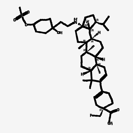 CC(C)[C@@H]1CC[C@]2(NCCC3(O)CCC(OS(C)(=O)=O)CC3)CC[C@]3(C)[C@H](CC[C@@H]4[C@@]5(C)CC=C(C6=CC[C@](CF)(C(=O)O)CC6)C(C)(C)[C@@H]5CC[C@]43C)[C@@H]12